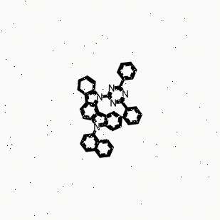 C1=Cc2c(c3ccc4c(c5ccccc5n4-c4cccc5ccccc45)c3n2-c2nc(-c3ccccc3)nc(-c3ccccc3)n2)CC1